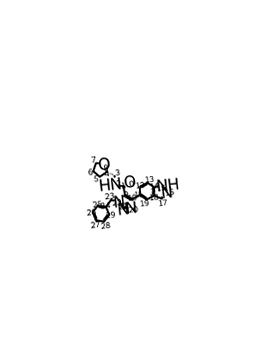 O=C(NC[C@@H]1CCCO1)c1c(-c2ccc3[nH]ncc3c2)nnn1Cc1ccccc1